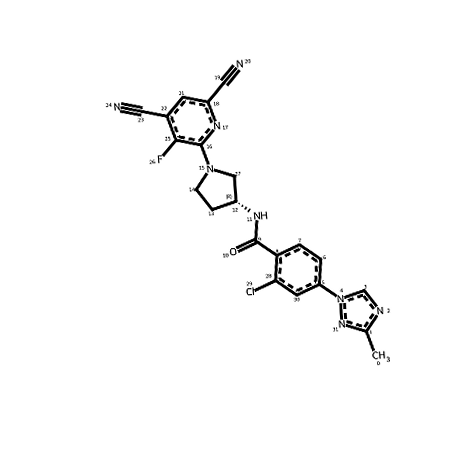 Cc1ncn(-c2ccc(C(=O)N[C@@H]3CCN(c4nc(C#N)cc(C#N)c4F)C3)c(Cl)c2)n1